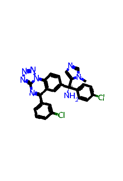 Cn1cncc1[C@@](N)(c1ccc(Cl)cc1)c1ccc2c(c1)c(-c1cccc(Cl)c1)nc1nnnn12